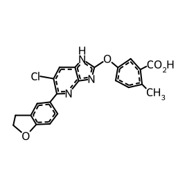 Cc1ccc(Oc2nc3nc(-c4ccc5c(c4)CCO5)c(Cl)cc3[nH]2)cc1C(=O)O